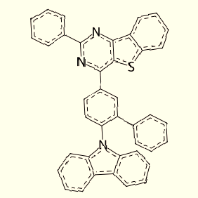 c1ccc(-c2nc(-c3ccc(-n4c5ccccc5c5ccccc54)c(-c4ccccc4)c3)c3sc4ccccc4c3n2)cc1